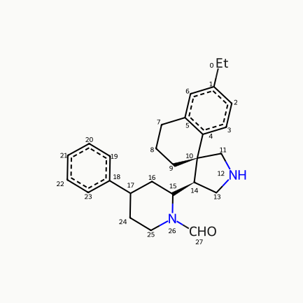 CCc1ccc2c(c1)CCC[C@]21CNC[C@H]1C1CC(c2ccccc2)CCN1C=O